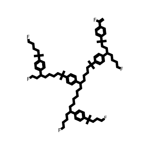 C=C(F)c1ccc(C(C)(C)CCC(CCCCF)c2ccc(C(C)(C)CCCCC(CCCCCCC(CCCCF)c3ccc(C(C)(C)CCCF)cc3)c3ccc(C(C)(C)CCCCC(CCF)c4ccc(C(C)(C)CCCCF)cc4)cc3)cc2)cc1